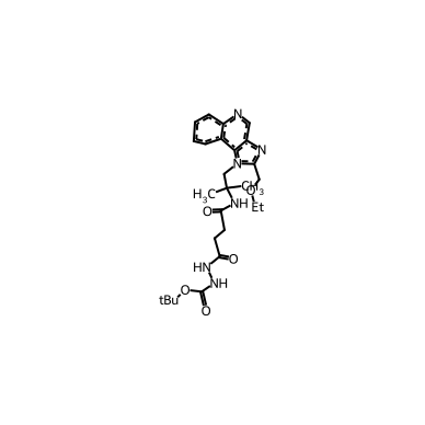 CCOCc1nc2cnc3ccccc3c2n1CC(C)(C)NC(=O)CCC(=O)NNC(=O)OC(C)(C)C